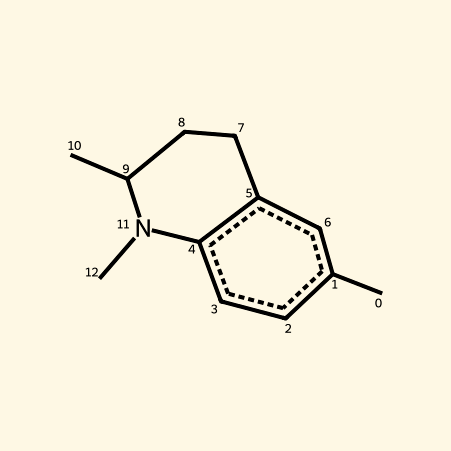 Cc1ccc2c(c1)CCC(C)N2C